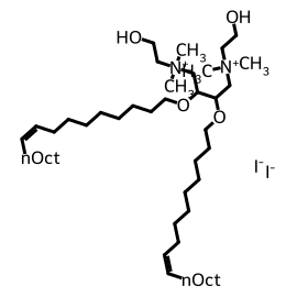 CCCCCCCC/C=C\CCCCCCCCOC(C[N+](C)(C)CCO)C(C[N+](C)(C)CCO)OCCCCCCCC/C=C\CCCCCCCC.[I-].[I-]